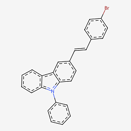 Brc1ccc(/C=C/c2ccc3c(c2)c2ccccc2n3-c2ccccc2)cc1